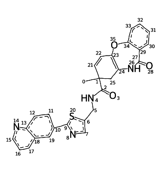 CC1(C(=O)NCc2cnc(-c3ccc4ncccc4c3)s2)C=CC2=C(C1)NC(=O)c1ccccc1O2